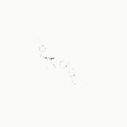 COc1cc(F)c(-c2ccc(CC(C(=O)O)N(C)C)cc2)cc1C(=O)NC1C2CCC(C2)C1C(=O)Nc1cccc(SC(F)(F)F)c1